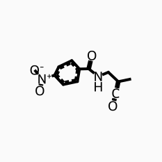 CC(=C=O)CNC(=O)c1ccc([N+](=O)[O-])cc1